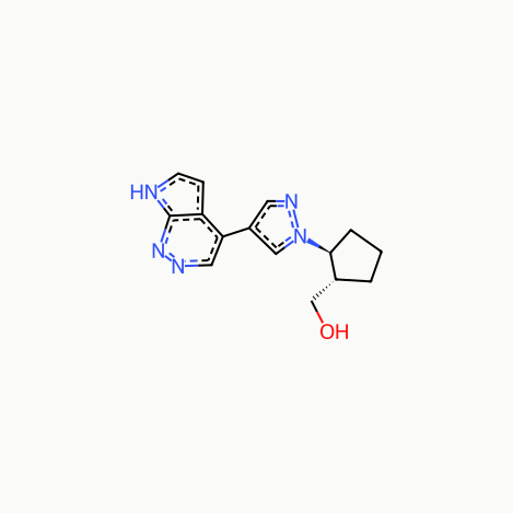 OC[C@H]1CCC[C@@H]1n1cc(-c2cnnc3[nH]ccc23)cn1